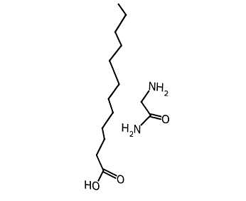 CCCCCCCCCCCC(=O)O.NCC(N)=O